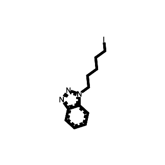 ICCCCCn1nnc2ccccc21